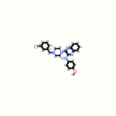 COc1ccc(Nc2nc3ccccc3nc2N2CCN(Cc3cccc(Cl)c3)CC2)cc1